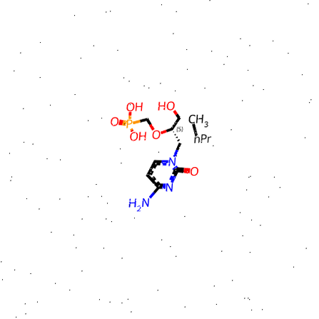 CCCC.Nc1ccn(C[C@@H](CO)OCP(=O)(O)O)c(=O)n1